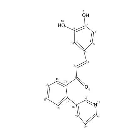 O=C(/C=C/c1ccc(O)c(O)c1)c1ccccc1-c1cccnc1